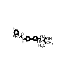 CC(C)[C@@H](NC(=O)c1ccc(-c2ccc(NC(=O)Nc3ccc(F)cc3F)cc2)cc1)C(=O)O